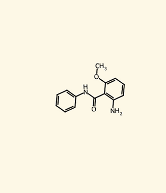 COc1cccc(N)c1C(=O)Nc1ccccc1